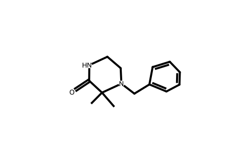 CC1(C)C(=O)NCCN1Cc1ccccc1